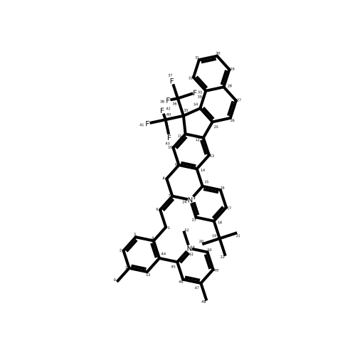 Cc1ccc(C/C=C2/Cc3cc4c(cc3-c3ccc(C(C)(C)C)c[n+]32)-c2ccc3ccccc3c2C4(C(F)(F)F)C(F)(F)F)c(-c2cc(C)cc[n+]2C)c1